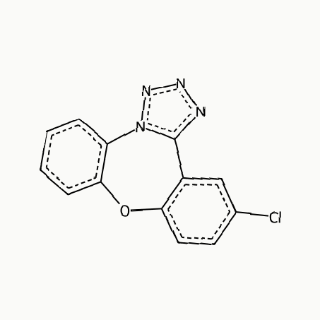 Clc1ccc2c(c1)-c1nnnn1-c1ccccc1O2